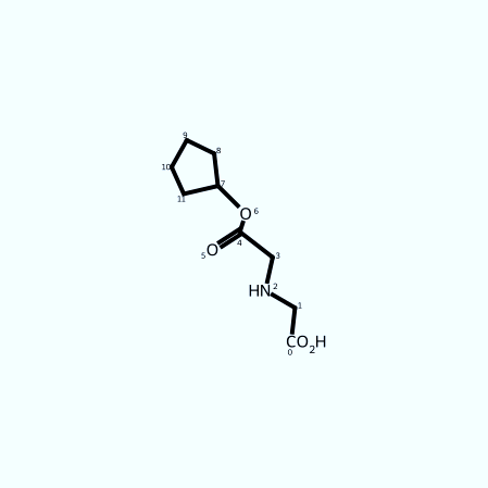 O=C(O)CNCC(=O)OC1CCCC1